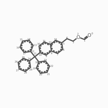 O=COCCc1ccc2cc(C(c3ccccc3)(c3ccccc3)c3ccccc3)ccc2c1